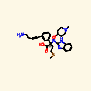 CSCC[C@@](C(=O)O)(c1cccc(C#CCCN)c1)N(OC1CCN(C)CC1)c1nc2ccccc2[nH]1